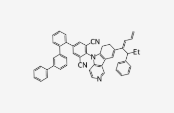 C=C/C=C(/C1=Cc2c(n(-c3c(C#N)cc(-c4ccccc4-c4cccc(-c5ccccc5)c4)cc3C#N)c3ccncc23)CC1)C(CC)c1ccccc1